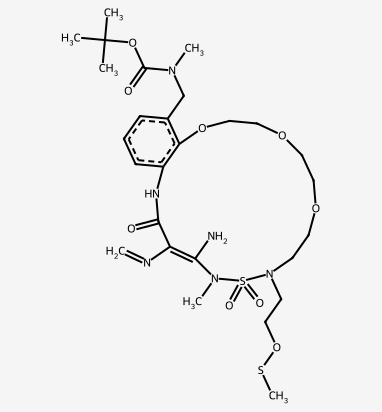 C=N/C1=C(/N)N(C)S(=O)(=O)N(CCOSC)CCOCCOCCOc2c(CN(C)C(=O)OC(C)(C)C)cccc2NC1=O